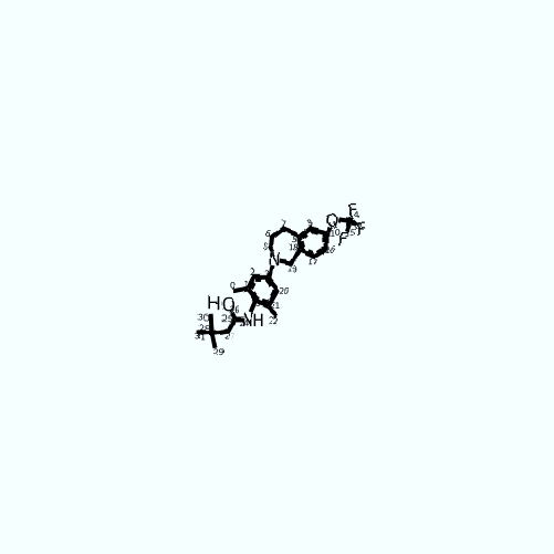 Cc1cc(N2CCCc3cc(OC(F)(F)F)ccc3C2)cc(C)c1NC(O)CC(C)(C)C